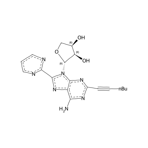 CCCCC#Cc1nc(N)c2nc(-c3ncccn3)n([C@@H]3OC[C@@H](O)[C@H]3O)c2n1